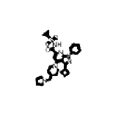 O=C(NS(=O)(=O)C1CC1)c1cc(N2CCC(CN3CCCC3)CC2)c2c(C3CCC3)nn(-c3ccccc3)c2n1